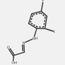 O=C(O)/C=N/Nc1ccc(F)cc1I